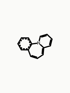 C1=CC2=CC=Cc3ccccc3N2C=C1